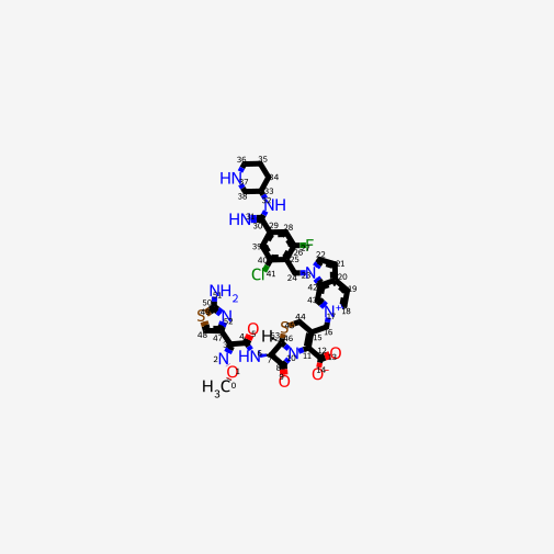 CO/N=C(\C(=O)N[C@@H]1C(=O)N2C(C(=O)[O-])=C(C[n+]3ccc4ccn(Cc5c(F)cc(C(=N)NC6CCCNC6)cc5Cl)c4c3)CS[C@H]12)c1csc(N)n1